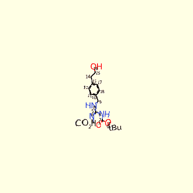 CC(C)(C)OC(=O)N/C(=N\C(=O)O)NCc1ccc(CCO)cc1